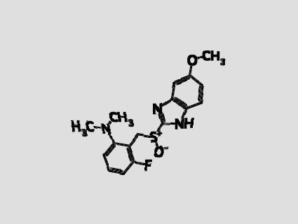 COc1ccc2[nH]c([S+]([O-])Cc3c(F)cccc3N(C)C)nc2c1